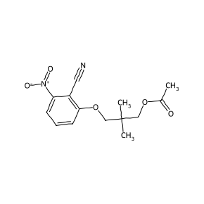 CC(=O)OCC(C)(C)COc1cccc([N+](=O)[O-])c1C#N